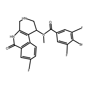 CN(C(=O)c1cc(F)c(Br)c(F)c1)C1CNCc2[nH]c(=O)c3cc(F)ccc3c21